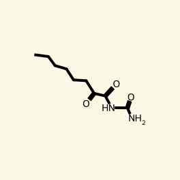 CCCCCCC(=O)C(=O)NC(N)=O